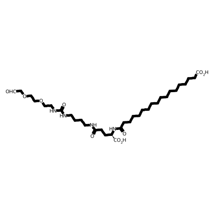 O=CCOCCOCCNC(=O)NCCCCNC(=O)CC[C@H](NC(=O)CCCCCCCCCCCCCCCCC(=O)O)C(=O)O